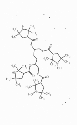 CC1(C)CC(C(=O)OC(CCC(COC(=O)C2CC(C)(C)N(O)C2(C)C)OC(=O)C2CC(C)(C)NC2(C)C)COC(=O)C2CC(C)(C)N(O)C2(C)C)C(C)(C)N1